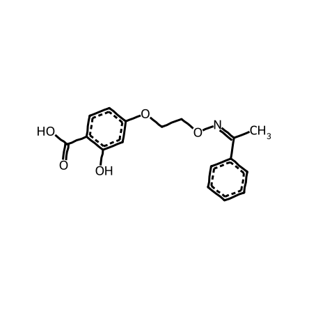 CC(=NOCCOc1ccc(C(=O)O)c(O)c1)c1ccccc1